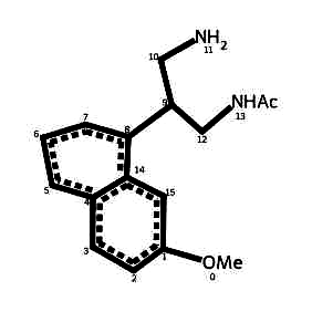 COc1ccc2cccc(C(CN)CNC(C)=O)c2c1